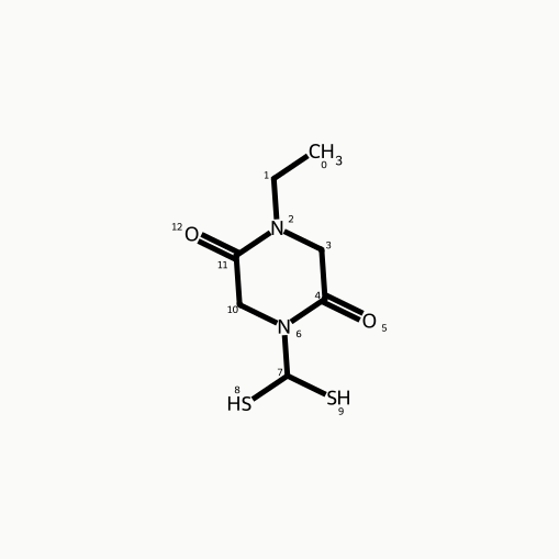 CCN1CC(=O)N(C(S)S)CC1=O